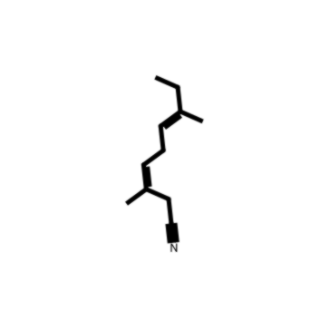 CCC(C)=CCC=C(C)CC#N